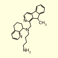 CC1c2ccccc2-c2ccnc(CN(CCCCN)C3CCCc4cccnc43)c21